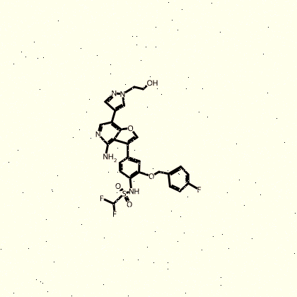 Nc1ncc(-c2cnn(CCO)c2)c2occ(-c3ccc(NS(=O)(=O)C(F)F)c(OCc4ccc(F)cc4)c3)c12